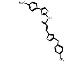 COc1ccc(-c2csc(NC(=O)C=Cc3cc(Cc4ccc(C(F)(F)F)cc4)cs3)n2)cc1